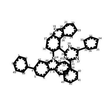 c1ccc(-c2ccc3c4ccccc4n(-c4ccc5sc6ccccc6c5c4-c4nc(-c5ccccc5)nc(-c5ccccc5)n4)c3c2)cc1